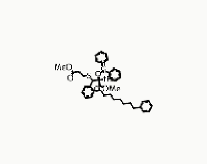 COC(=O)CCSC(c1ccccc1CCCCCCCCc1ccccc1)C(O[SiH](c1ccccc1)c1ccccc1)(C(=O)OC)C(C)(C)C